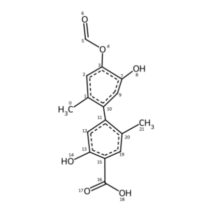 Cc1cc(OC=O)c(O)cc1-c1cc(O)c(C(=O)O)cc1C